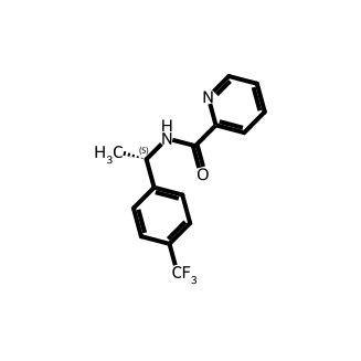 C[C@H](NC(=O)c1ccccn1)c1ccc(C(F)(F)F)cc1